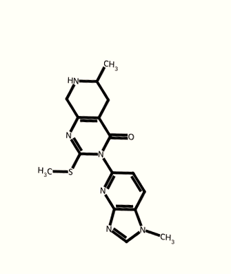 CSc1nc2c(c(=O)n1-c1ccc3c(ncn3C)n1)CC(C)NC2